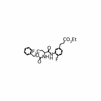 CCOC(=O)CCc1ccc(F)c(NC(=O)C(CC(F)(F)F)NC(=O)OCc2ccccc2)c1